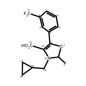 CC1OC(c2cccc(C(F)(F)F)c2)=C(C(=O)O)N1CC1CC1